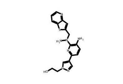 Nc1ccc(-c2cnn(CCO)c2)nc1N(N)Cc1cc2ncccc2s1